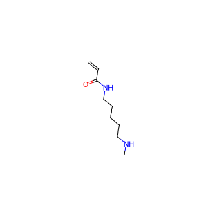 C=CC(=O)NCCCCCNC